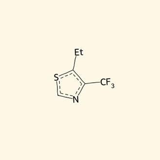 CCc1scnc1C(F)(F)F